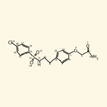 NC(=O)COc1ccc(CCNS(=O)(=O)c2ccc(Cl)cc2)cc1